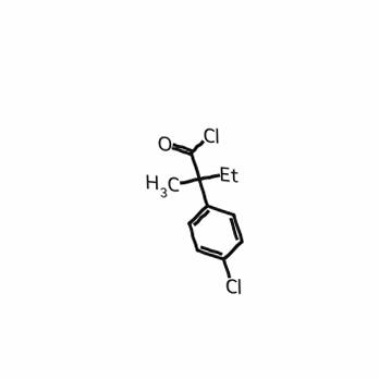 CCC(C)(C(=O)Cl)c1ccc(Cl)cc1